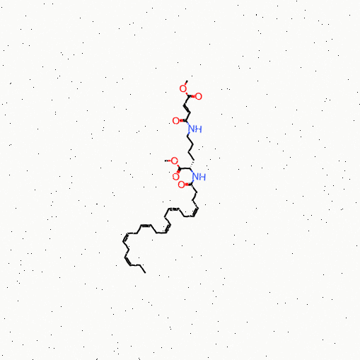 CC/C=C\C/C=C\C/C=C\C/C=C\C/C=C\C/C=C\CCC(=O)N[C@@H](CCCCNC(=O)/C=C/C(=O)OC)C(=O)OC